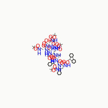 CC(C)C[C@H](NC(=O)[C@@H](Cc1cn(C(=O)OC(C)(C)C)c2ccccc12)NC(=O)[C@H](Cc1cn(C(=O)OC(C)(C)C)c2ccccc12)NC(=O)OCC1c2ccccc2-c2ccccc21)C(=O)N[C@H](CCNC(=O)OC(C)(C)C)C(=O)N[C@@H](CCNC(=O)OC(C)(C)C)C(=O)N[C@H](CCNC(=O)OC(C)(C)C)C(=O)N[C@@H](CCNC(=O)OC(C)(C)C)C(=O)O